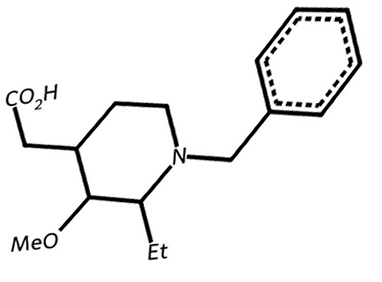 CCC1C(OC)C(CC(=O)O)CCN1Cc1ccccc1